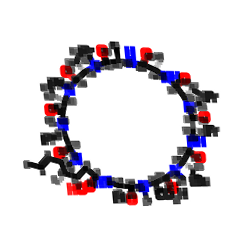 C/C=C/C[C@@H](C)[C@@H](O)[C@H]1C(=O)N[C@@H](CC)C(=O)N(C)C(C(=O)O)C(=O)N(C)[C@@H](CC(C)(C)C)C(=O)N[C@@H](C(C)C)C(=O)N(C)[C@@H](CC(C)C)C(=O)N[C@@H](C)C(=O)N[C@H](C)C(=O)N(C)[C@@H](CC(C)C)C(=O)N(C)[C@@H](CC(C)C)C(=O)N(C)[C@@H](C(C)C)C(=O)N1C